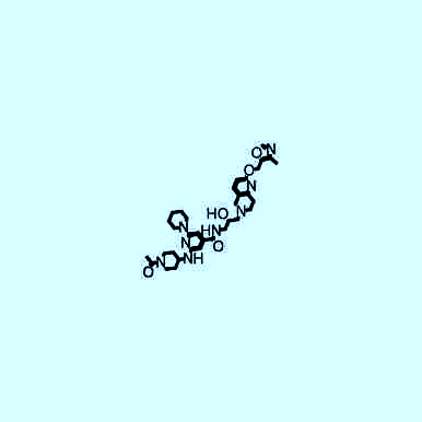 CC(=O)N1CCC(Nc2cc(C(=O)NCC(O)CN3CCc4nc(OCc5ocnc5C)ccc4C3)cc(N3CCCCC3)n2)CC1